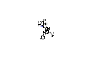 O=C1NC(=O)/C(=C/c2cnn3c(NC4CC4)cc(N4CC[C@H](F)C4)nc23)N1